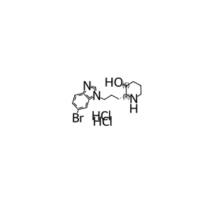 Cl.Cl.O[C@H]1CCCN[C@@H]1CCCn1cnc2ccc(Br)cc21